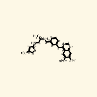 CCCc1cc2ncnc(Cc3cccc(CNC(C)CNC4=NCC(C(C)(C)C)=C4)c3)c2cc1CCC